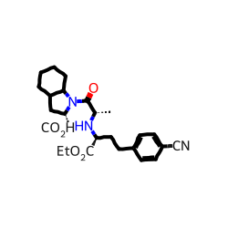 CCOC(=O)[C@H](CCc1ccc(C#N)cc1)N[C@@H](C)C(=O)N1C2CCCCC2C[C@H]1C(=O)O